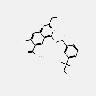 COCC(F)(F)c1cccc([C@@H](C)Nc2nc(CO)nc3cc(OC)c(C(=O)OC)cc23)c1